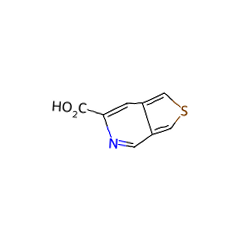 O=C(O)c1cc2cscc2cn1